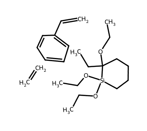 C=C.C=Cc1ccccc1.CCOC1(CC)CCCC[Si]1(OCC)OCC